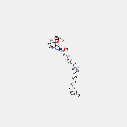 CCCCCCCC/C=C\CCCCCCCC(=O)NCc1ccccc1OC